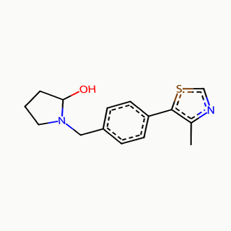 Cc1ncsc1-c1ccc(CN2CCCC2O)cc1